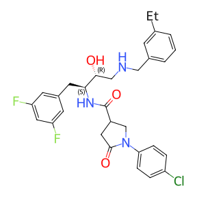 CCc1cccc(CNC[C@@H](O)[C@H](Cc2cc(F)cc(F)c2)NC(=O)C2CC(=O)N(c3ccc(Cl)cc3)C2)c1